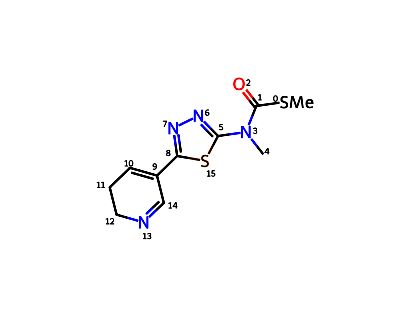 CSC(=O)N(C)c1nnc(C2=CCCN=C2)s1